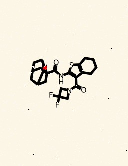 O=C(c1c(NC(=O)C23CC4CC(CC(C4)O2)C3)sc2c1CCCC2)N1CC(F)(F)C1